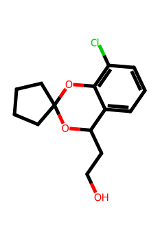 OCCC1OC2(CCCC2)Oc2c(Cl)cccc21